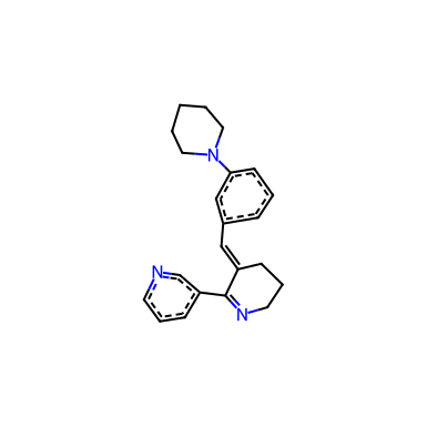 C(=C1CCCN=C1c1cccnc1)c1cccc(N2CCCCC2)c1